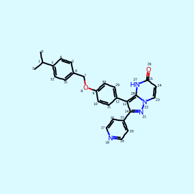 CC(C)c1ccc(COc2ccc(-c3c(-c4ccncc4)nn4ccc(=O)[nH]c34)cc2)cc1